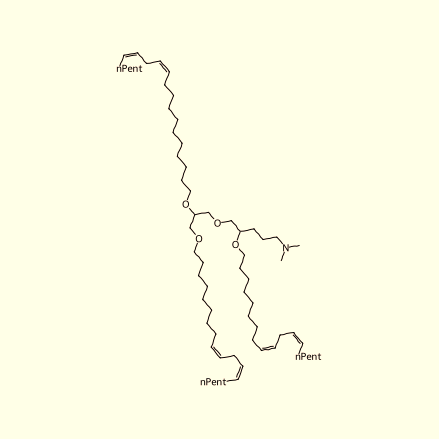 CCCCC/C=C\C/C=C\CCCCCCCCCCOC(COCCCCCCCC/C=C\C/C=C\CCCCC)COCC(CCCN(C)C)OCCCCCCCC/C=C\C/C=C\CCCCC